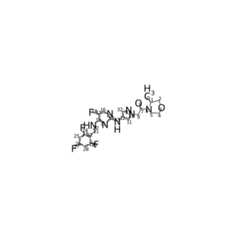 C[C@H]1COCCN1C(=O)Cn1cc(Nc2ncc(F)c(NCc3c(F)cc(F)cc3F)n2)cn1